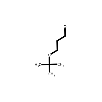 CC(C)(C)OCCC[O]